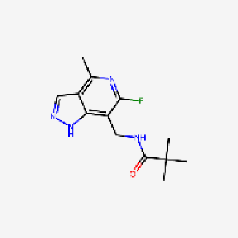 Cc1nc(F)c(CNC(=O)C(C)(C)C)c2[nH]ncc12